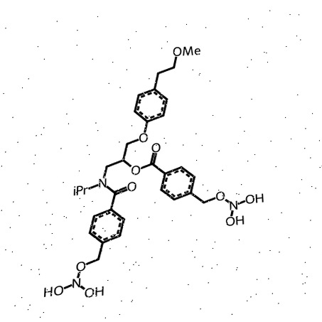 COCCc1ccc(OCC(CN(C(=O)c2ccc(CON(O)O)cc2)C(C)C)OC(=O)c2ccc(CON(O)O)cc2)cc1